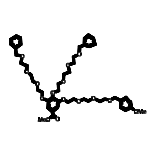 COC(=O)c1cc(OCCOCCOCCOCc2ccccc2)c(OCCOCCOCCOCc2ccccc2)c(OCCOCCOCCOCc2ccc(OC)cc2)c1